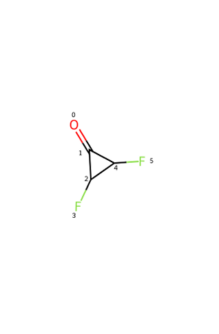 O=C1C(F)C1F